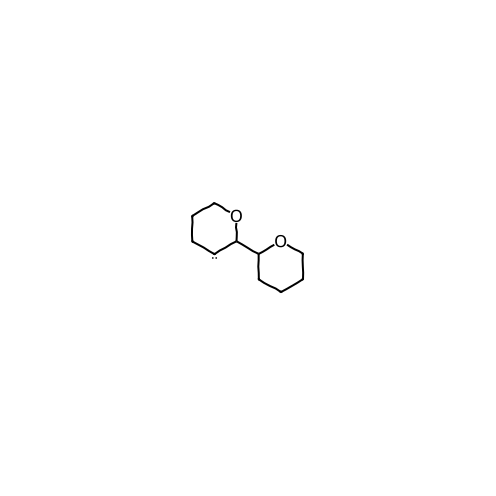 [C]1CCCOC1C1CCCCO1